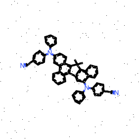 CC1(C)c2c(cc(N(c3ccccc3)c3ccc(C#N)cc3)c3ccccc23)-c2c1c1ccc(N(c3ccccc3)c3ccc(C#N)cc3)cc1c1ccccc21